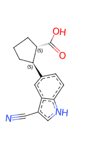 N#Cc1c[nH]c2ccc([C@H]3CCC[C@@H]3C(=O)O)cc12